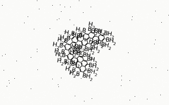 Bc1c(B)c(B)c(-c2c(B)c(B)c3c(B)c(B)c4c(-c5c(B)c(B)c(B)c(-c6c(B)c(B)c(B)c(-c7c(B)c(B)c(B)c(-c8c(B)c(B)c9c(B)c(B)c%10c(B)c(B)c(B)c%11c(B)c(B)c8c9c%10%11)c7B)c6B)c5B)c(B)c(B)c5c(B)c(B)c2c3c54)c(B)c1B